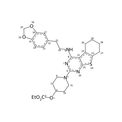 CCOC(=O)OC1CCN(c2nc(NCCc3ccc4c(c3)OCO4)c3c4c(sc3n2)CCCC4)CC1